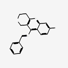 Clc1ccc2c(/N=C/c3ccccc3)c3c(nc2c1)CCOC3